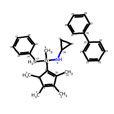 CC1=C(C)C(C)[C]([Zr]([CH3])([NH]C2CC2)[SiH2]c2ccccc2)=C1C.c1ccc(-c2ccccc2)cc1